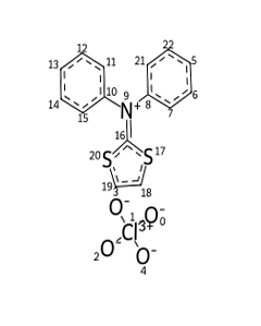 [O-][Cl+3]([O-])([O-])[O-].c1ccc([N+](c2ccccc2)=c2sccs2)cc1